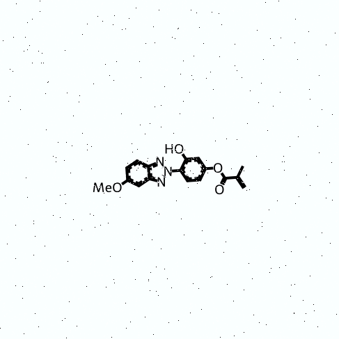 C=C(C)C(=O)Oc1ccc(-n2nc3ccc(OC)cc3n2)c(O)c1